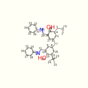 CC(C)Cc1cc(Cc2cc(/C=N/c3ccccc3)c(O)c(C(C)(C)C)c2)cc(/C=N/c2ccccc2)c1O